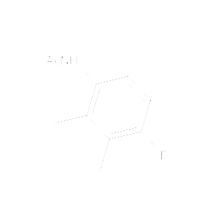 CC(=O)Nc1ccc(F)c(C)c1C